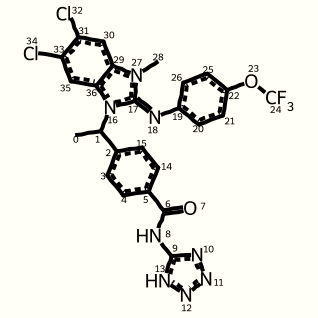 CC(c1ccc(C(=O)Nc2nnn[nH]2)cc1)n1/c(=N/c2ccc(OC(F)(F)F)cc2)n(C)c2cc(Cl)c(Cl)cc21